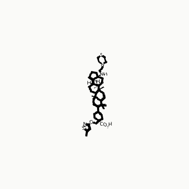 Cc1cc(OCC2(C(=O)O)CC=C(C3=CC[C@@]4(C)C(CC[C@]5(C)C4CC[C@@H]4[C@H]6CCC[C@]6(NCCN6CCSCC6)CC[C@]45C)C3(C)C)CC2)ns1